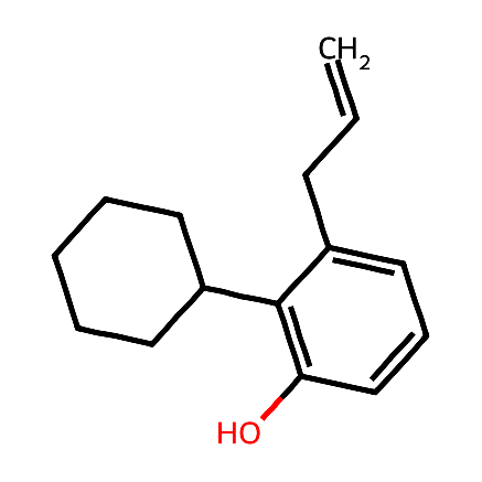 C=CCc1cccc(O)c1C1CCCCC1